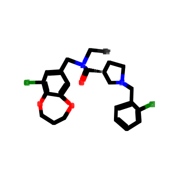 CC(C)CN(Cc1cc(Cl)c2c(c1)OCCCO2)C(=O)[C@@H]1CCN(Cc2ccccc2Cl)C1